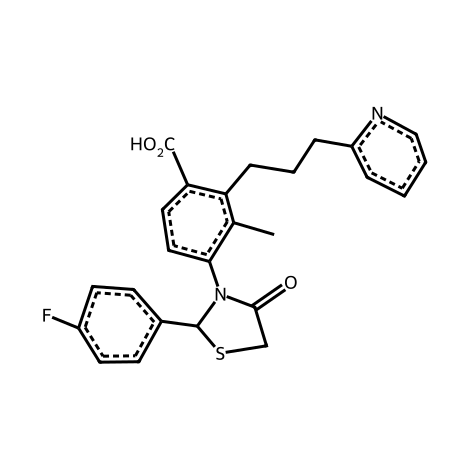 Cc1c(N2C(=O)CSC2c2ccc(F)cc2)ccc(C(=O)O)c1CCCc1ccccn1